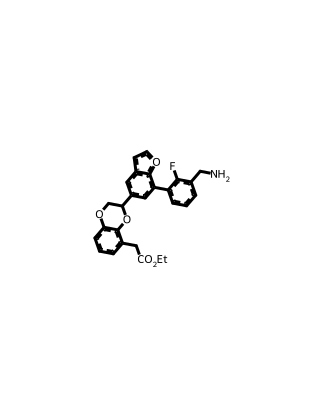 CCOC(=O)Cc1cccc2c1OC(c1cc(-c3cccc(CN)c3F)c3occc3c1)CO2